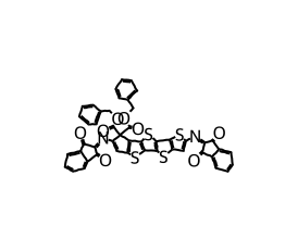 O=C(OCc1ccccc1)C1(C(=O)OCc2ccccc2)C(N=c2c(=O)c3ccccc3c2=O)=Cc2sc3c(sc4c5sc(N=c6c(=O)c7ccccc7c6=O)cc5sc34)c21